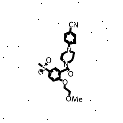 COCCOc1ccc(S(C)(=O)=O)cc1C(=O)N1CCN(c2ccc(C#N)cc2)CC1